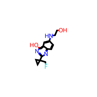 OCCNc1ccc2nc(C3(CF)CC3)nc(O)c2c1